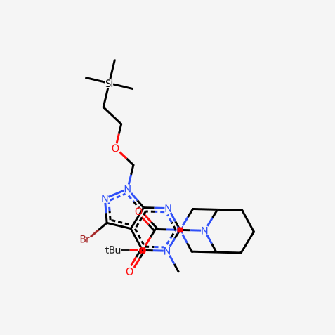 Cn1c(N2C3CCCC2CN(C(=O)OC(C)(C)C)C3)nc2c(c(Br)nn2COCC[Si](C)(C)C)c1=O